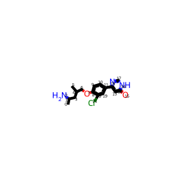 CC(N)CC(C)COc1ccc(-c2cc(=O)[nH]cn2)cc1Cl